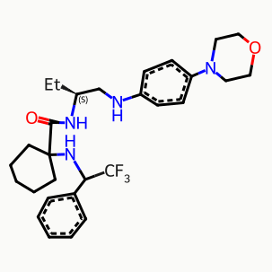 CC[C@@H](CNc1ccc(N2CCOCC2)cc1)NC(=O)C1(NC(c2ccccc2)C(F)(F)F)CCCCC1